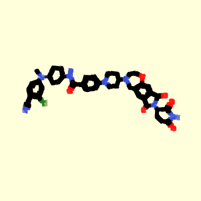 CN(c1ccc(C#N)c(Cl)c1)[C@H]1CC[C@H](NC(=O)c2ccc(N3CCC(N4CCOc5cc6c(cc5C4)C(=O)N(C4CCC(=O)NC4=O)C6=O)CC3)cc2)CC1